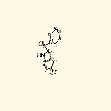 CCc1ccc2[nH]c(C(=O)N3CCOCC3)cc2c1